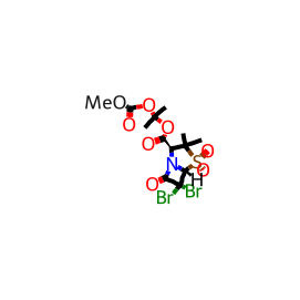 COC(=O)OC(C)(C)OC(=O)[C@@H]1N2C(=O)C(Br)(Br)[C@H]2S(=O)(=O)C1(C)C